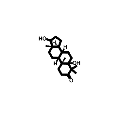 CC1(C)C(=O)CC[C@]2(C)[C@@H]3CC[C@]4(C)C(O)CC[C@H]4[C@@H]3CCC12O